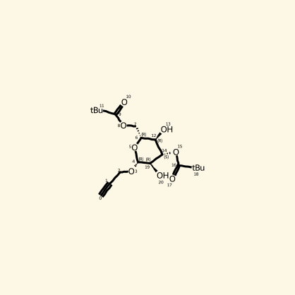 C#CCO[C@@H]1O[C@H](COC(=O)C(C)(C)C)[C@@H](O)[C@H](OC(=O)C(C)(C)C)[C@H]1O